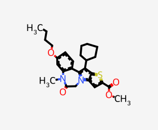 CCCCOc1ccc2c(c1)N(C)C(=O)Cn1c-2c(C2CCCCC2)c2sc(C(=O)OC)cc21